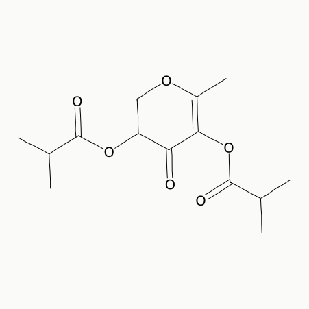 CC1=C(OC(=O)C(C)C)C(=O)C(OC(=O)C(C)C)CO1